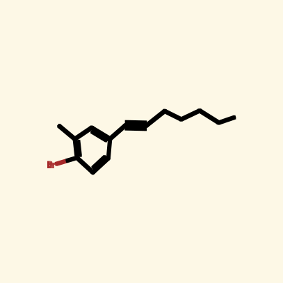 CCCCCC#Cc1ccc(Br)c(C)c1